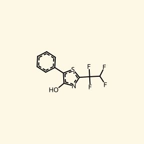 Oc1nc(C(F)(F)C(F)F)sc1-c1ccccc1